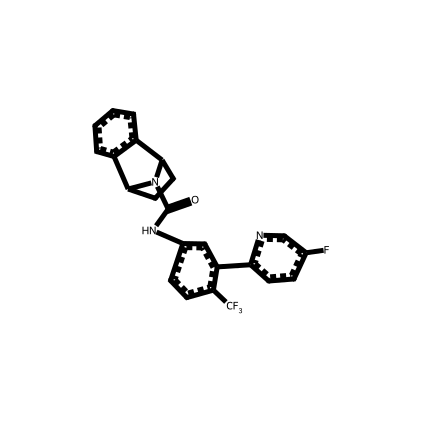 O=C(Nc1ccc(C(F)(F)F)c(-c2ccc(F)cn2)c1)N1C2CCC1c1ccccc12